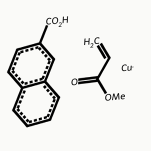 C=CC(=O)OC.O=C(O)c1ccc2ccccc2c1.[Cu]